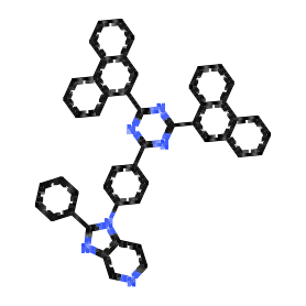 c1ccc(-c2nc3cnccc3n2-c2ccc(-c3nc(-c4cc5ccccc5c5ccccc45)nc(-c4cc5ccccc5c5ccccc45)n3)cc2)cc1